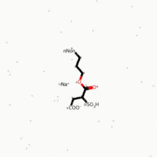 CCCCCCCCCCCCOC(=O)C(CC(=O)[O-])S(=O)(=O)O.[Na+]